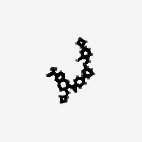 O=C(O)c1ccc2c(c1)CCC(C[C@@H]1CCO1)C(C1CC13CCN(c1cccc(OCc4ccc(C5COC5)cc4F)n1)CC3)=N2